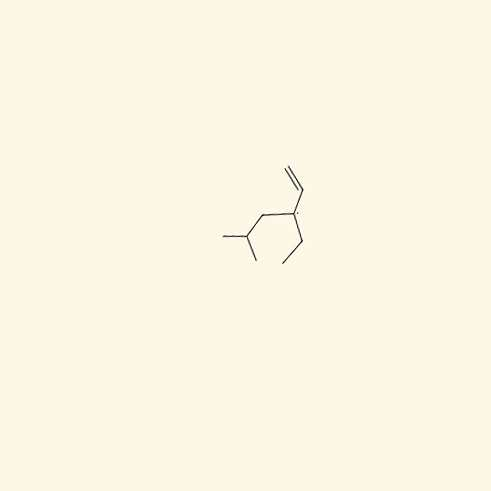 C=C[C](CC)CC(C)C